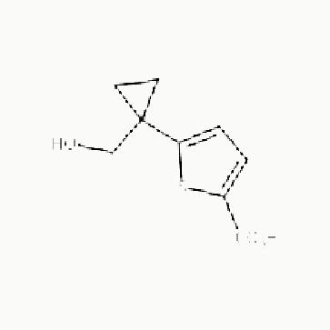 O=C(O)c1ccc(C2(CO)CC2)s1